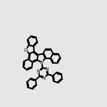 c1ccc(-c2nc(-c3ccccc3)nc(-n3c4c5ccccc5ccc4c4c5c6ccccc6oc5c5ccccc5c43)n2)cc1